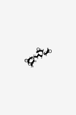 C(CCN(CC1CO1)CC1CO1)CN(CC1CO1)CC1CO1